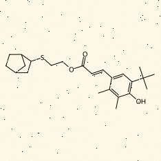 Cc1c(C=CC(=O)OCCSC2CC3CCC2C3)cc(C(C)(C)C)c(O)c1C